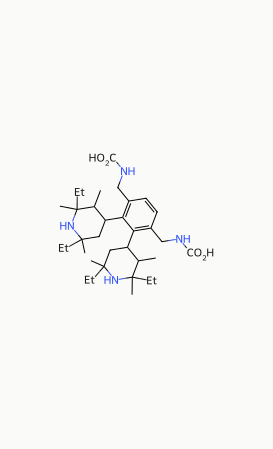 CCC1(C)CC(c2c(CNC(=O)O)ccc(CNC(=O)O)c2C2CC(C)(CC)NC(C)(CC)C2C)C(C)C(C)(CC)N1